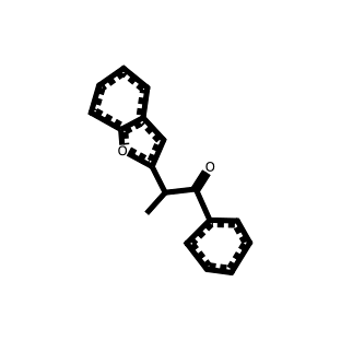 CC(C(=O)c1ccccc1)c1cc2ccccc2o1